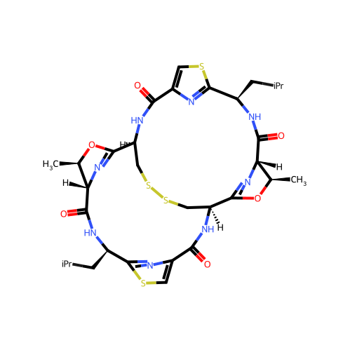 CC(C)C[C@H]1NC(=O)[C@H]2N=C(O[C@@H]2C)[C@@H]2CSSC[C@H](NC(=O)c3csc1n3)C1=N[C@H](C(=O)N[C@H](CC(C)C)c3nc(cs3)C(=O)N2)[C@@H](C)O1